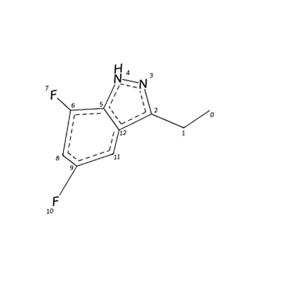 CCc1n[nH]c2c(F)cc(F)cc12